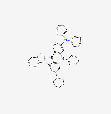 c1ccc(N(c2ccccc2)c2ccc3c(c2)N(c2ccccc2)c2cc(C4CCCCC4)cc4c2B3c2sc3ccccc3c2-4)cc1